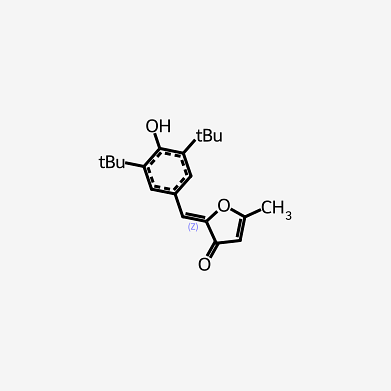 CC1=CC(=O)/C(=C/c2cc(C(C)(C)C)c(O)c(C(C)(C)C)c2)O1